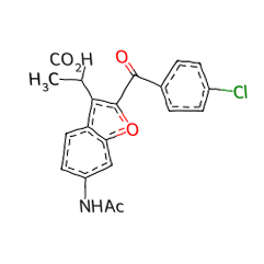 CC(=O)Nc1ccc2c(C(C)C(=O)O)c(C(=O)c3ccc(Cl)cc3)oc2c1